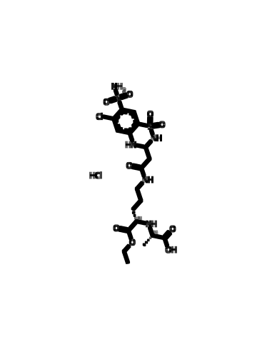 CCOC(=O)[C@H](CCCNC(=O)CC1Nc2cc(Cl)c(S(N)(=O)=O)cc2S(=O)(=O)N1)N[C@@H](C)C(=O)O.Cl